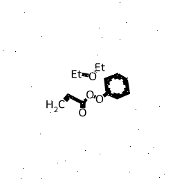 C=CC(=O)OOc1ccccc1.CCOCC